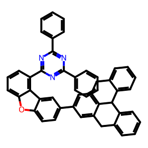 c1ccc(-c2nc(-c3ccccc3)nc(-c3cccc4oc5ccc(-c6cc7c8c(c6)Cc6ccccc6C8c6ccccc6C7)cc5c34)n2)cc1